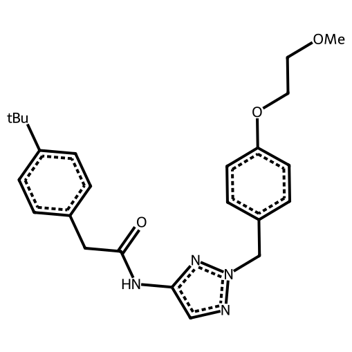 COCCOc1ccc(Cn2ncc(NC(=O)Cc3ccc(C(C)(C)C)cc3)n2)cc1